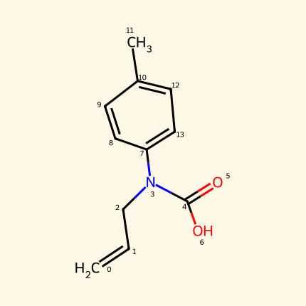 C=CCN(C(=O)O)c1ccc(C)cc1